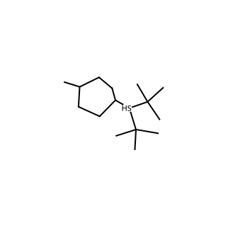 CC1CCC([SH](C(C)(C)C)C(C)(C)C)CC1